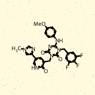 COc1ccc(Nc2nc(=O)n(Cc3cc(-c4cn(C)cn4)c[nH]c3=O)c(=O)n2Cc2cc(F)c(F)c(F)c2)cc1